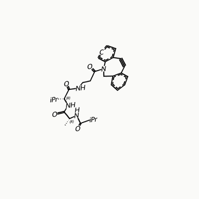 CC(C)C(=O)N[C@H](C)C(=O)N[C@@H](C(=O)NCCC(=O)N1Cc2ccccc2C#Cc2ccccc21)C(C)C